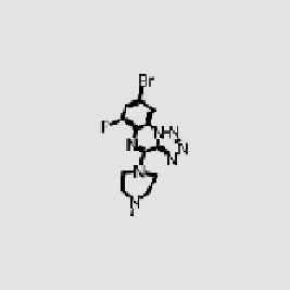 CN1CCN(c2nc3c(F)cc(Br)cc3n3nnnc23)CC1